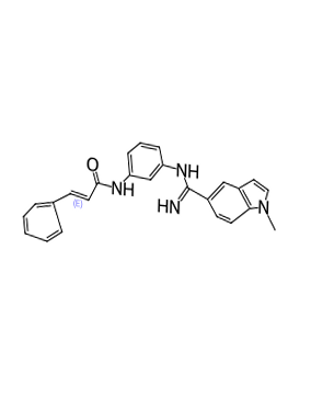 Cn1ccc2cc(C(=N)Nc3cccc(NC(=O)/C=C/c4ccccc4)c3)ccc21